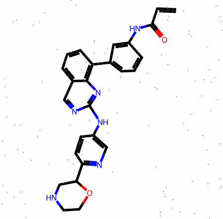 C=CC(=O)Nc1cccc(-c2cccc3cnc(Nc4ccc(C5CNCCO5)nc4)nc23)c1